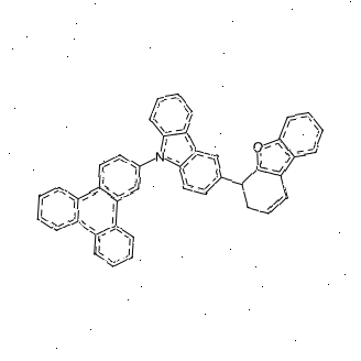 C1=Cc2c(oc3ccccc23)C(c2ccc3c(c2)c2ccccc2n3-c2ccc3c4ccccc4c4ccccc4c3c2)C1